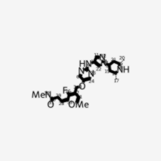 C=C/C(COc1cnc(Nc2cnn(C3C[C@@H](C)N[C@@H](C)C3)c2)nc1)=C(F)\C(=C/CC(=O)NC)OC